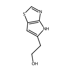 OCCc1cc2scnc2[nH]1